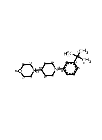 CC(C)(C)c1cccc(N2CCC(N3CCOCC3)CC2)c1